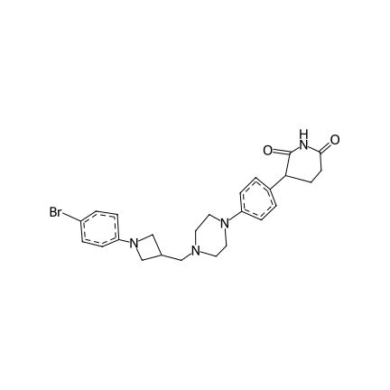 O=C1CCC(c2ccc(N3CCN(CC4CN(c5ccc(Br)cc5)C4)CC3)cc2)C(=O)N1